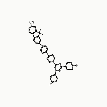 CC1(C)c2cc(C#N)ccc2-c2ccc(-c3ccc(-c4ccc(-c5nc(-c6ccc(F)cc6)nc(-c6ccc(F)cc6)n5)cc4)cc3)cc21